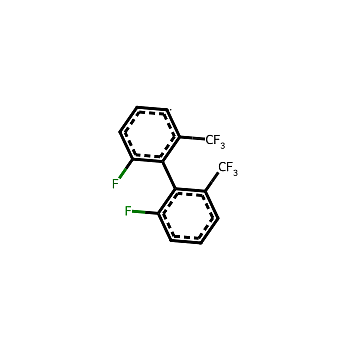 Fc1cc[c]c(C(F)(F)F)c1-c1c(F)cccc1C(F)(F)F